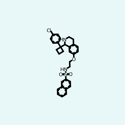 O=S(=O)(NCCOc1ccc2c(c1)C(C1(c3ccc(Cl)cc3)CCC1)NCC2)c1ccc2ccccc2c1